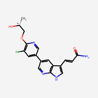 C[C@@H](O)COc1ncc(-c2cnc3[nH]cc(C=CC(N)=O)c3c2)cc1F